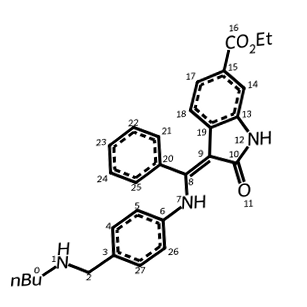 CCCCNCc1ccc(N/C(=C2\C(=O)Nc3cc(C(=O)OCC)ccc32)c2ccccc2)cc1